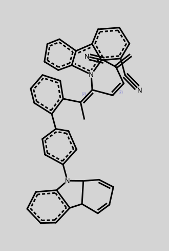 C=C(C#N)/C=C\C(=C(/C)c1ccccc1-c1ccc(N2c3ccccc3C3C=CC=CC32)cc1)n1c2ccccc2c2cccc(C#N)c21